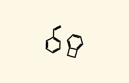 C=Cc1ccccc1.c1ccc2c(c1)CC2